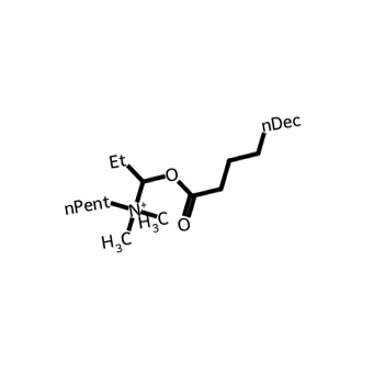 CCCCCCCCCCCCCC(=O)OC(CC)[N+](C)(C)CCCCC